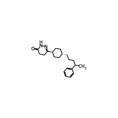 CC(CCC[C@H]1CC[C@H](C2=NNC(=O)CC2)CC1)c1ccccc1